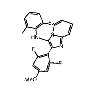 CCc1cccc2nc(-c3c(F)cc(OC)cc3F)c(Nc3c(C)cccc3C)n12